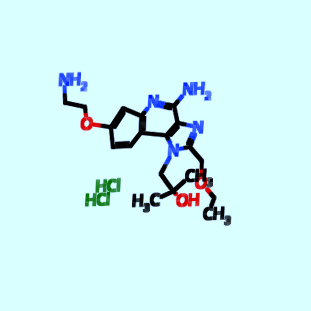 CCOCc1nc2c(N)nc3cc(OCCN)ccc3c2n1CC(C)(C)O.Cl.Cl